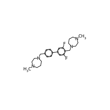 CN1CCCN(Cc2ccc(-c3cc(F)c(CN4CCCN(C)CC4)c(F)c3)cc2)CC1